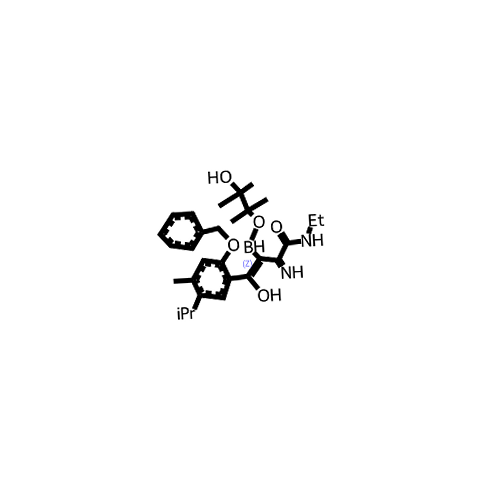 CCNC(=O)C(=N)/C(BOC(C)(C)C(C)(C)O)=C(\O)c1cc(C(C)C)c(C)cc1OCc1ccccc1